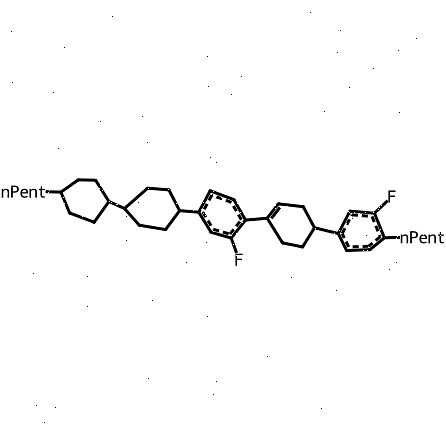 CCCCCc1ccc(C2CC=C(c3ccc(C4CCC(C5CCC(CCCCC)CC5)CC4)cc3F)CC2)cc1F